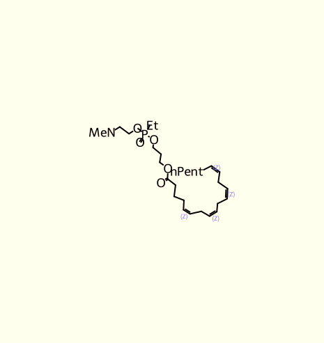 CCCCC/C=C\C/C=C\C/C=C\C/C=C\CCCC(=O)OCCCOP(=O)(CC)OCCNC